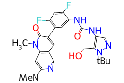 CNc1cc2c(cn1)cc(-c1cc(NC(=O)Nc3cnn(C(C)(C)C)c3CO)c(F)cc1F)c(=O)n2C